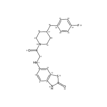 O=C(CNc1ccc2[nH]c(=O)sc2c1)N1CCC(Cc2ccc(F)cc2)CC1